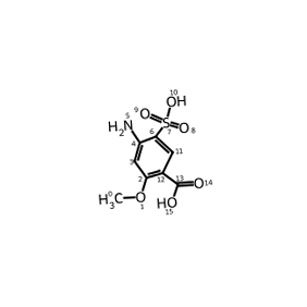 COc1cc(N)c(S(=O)(=O)O)cc1C(=O)O